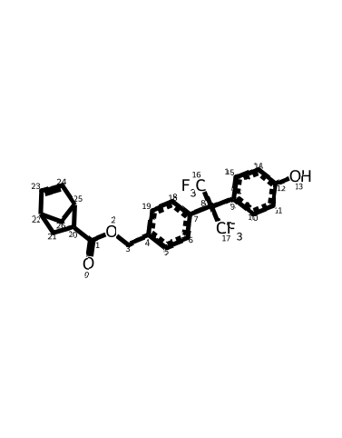 O=C(OCc1ccc(C(c2ccc(O)cc2)(C(F)(F)F)C(F)(F)F)cc1)C1CC2C=CC1C2